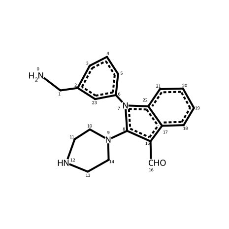 NCc1cccc(-n2c(N3CCNCC3)c(C=O)c3ccccc32)c1